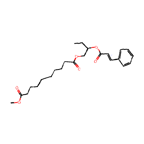 CCC(COC(=O)CCCCCCCCC(=O)OC)OC(=O)/C=C/c1ccccc1